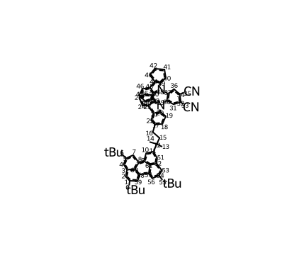 CC(C)(C)c1cc2cc(C(C)(C)C)cc3c4cc(C(C)(C)CCc5ccc6c(c5)c5ccccc5n6-c5cc(C#N)c(C#N)cc5-n5c6ccccc6c6ccccc65)cc5cc(C(C)(C)C)cc(c(c1)c23)c54